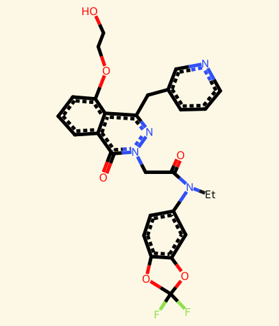 CCN(C(=O)Cn1nc(Cc2cccnc2)c2c(OCCO)cccc2c1=O)c1ccc2c(c1)OC(F)(F)O2